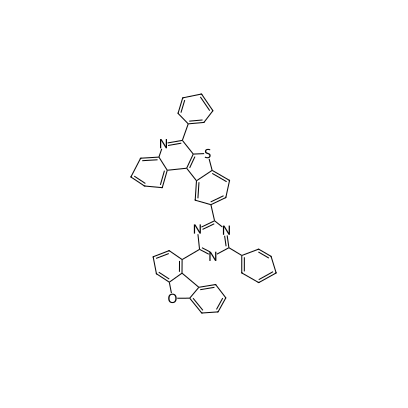 c1ccc(-c2nc(-c3ccc4sc5c(-c6ccccc6)nc6ccccc6c5c4c3)nc(-c3cccc4oc5ccccc5c34)n2)cc1